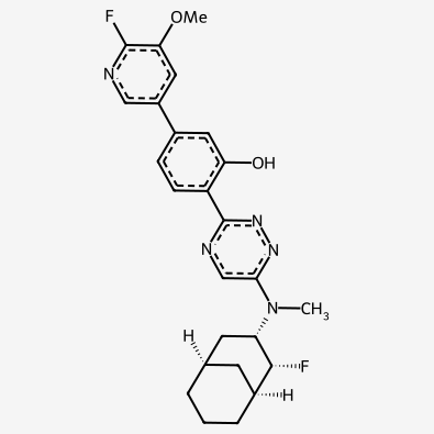 COc1cc(-c2ccc(-c3ncc(N(C)[C@H]4C[C@@H]5CCC[C@@H](C5)[C@H]4F)nn3)c(O)c2)cnc1F